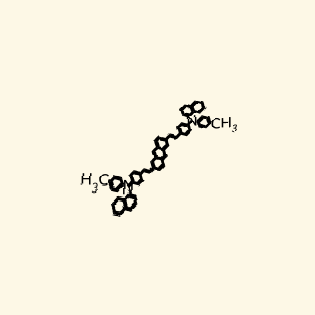 Cc1ccc(N(c2ccc(C=Cc3ccc4cc5cc(C=Cc6ccc(N(c7ccc(C)cc7)c7cccc8c7CCCC8)cc6)ccc5cc4c3)cc2)c2cccc3c2CCCC3)cc1